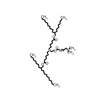 CCCCCCCCCCC(CCCCCCCC)COC(=O)CCCCCN(CCCCCC(=O)OCC(CCCCCCCC)CCCCCCCCCC)CCOC(=O)NCCCN(C)C